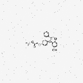 COC(=O)COc1ccc([C@@H]2c3cc(O)ccc3OC[C@@H]2c2ccccc2)cc1